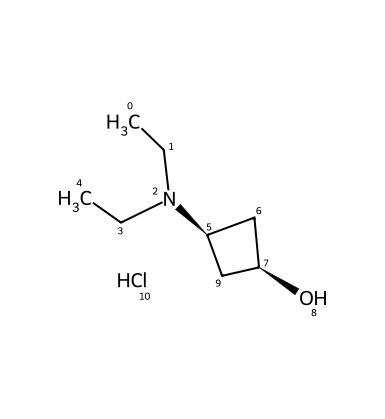 CCN(CC)[C@H]1C[C@@H](O)C1.Cl